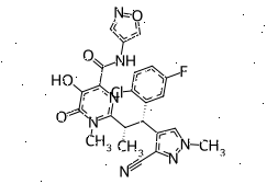 C[C@H](c1nc(C(=O)Nc2cnoc2)c(O)c(=O)n1C)[C@H](c1cc(F)ccc1Cl)c1cn(C)nc1C#N